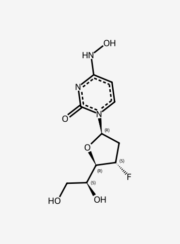 O=c1nc(NO)ccn1[C@H]1C[C@H](F)[C@@H]([C@@H](O)CO)O1